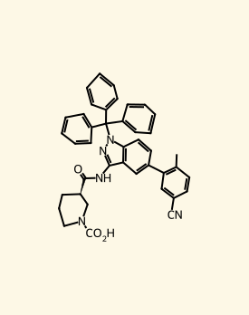 Cc1ccc(C#N)cc1-c1ccc2c(c1)c(NC(=O)[C@@H]1CCCN(C(=O)O)C1)nn2C(c1ccccc1)(c1ccccc1)c1ccccc1